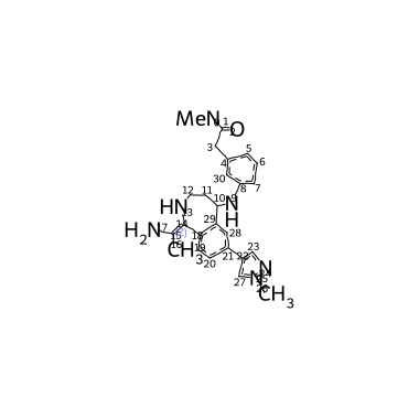 CNC(=O)Cc1cccc(NC2CCN/C(=C(/C)N)c3ccc(-c4cnn(C)c4)cc32)c1